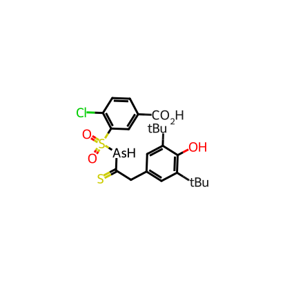 CC(C)(C)c1cc(CC(=S)[AsH]S(=O)(=O)c2cc(C(=O)O)ccc2Cl)cc(C(C)(C)C)c1O